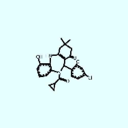 CC1(C)CC(=O)C2=C(C1)Nc1c(O)cccc1N(C(=O)C1CC1)C2c1ccc(Cl)cc1Cl